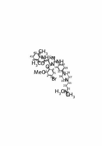 COc1cc(Br)ccc1Oc1nc(Nc2ccc(N3CCN(CCCN(C)C)CC3)cc2)ncc1C(=O)Nc1c(C)cccc1C